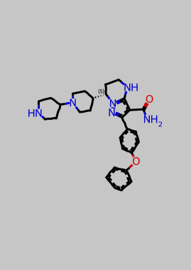 NC(=O)c1c(-c2ccc(Oc3ccccc3)cc2)nn2c1NCC[C@H]2C1CCN(C2CCNCC2)CC1